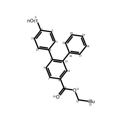 CCCCCCCCc1ccc(-c2ccc(C(=O)OCC(C)CC)cc2-c2ccccc2)cc1